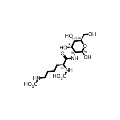 O=C(O)NCCCC[C@H](NC(=O)O)C(=O)N[C@@H]1[C@@H](O)[C@H](O)[C@@H](CO)O[C@H]1O